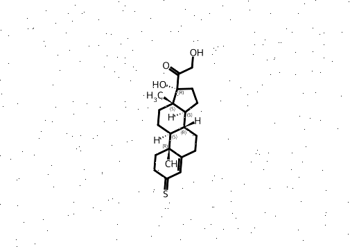 C[C@]12CCC(=S)C=C1CC[C@@H]1[C@@H]2CC[C@@]2(C)[C@H]1CC[C@]2(O)C(=O)CO